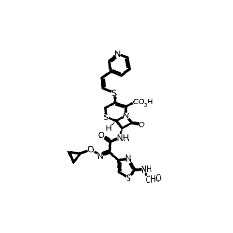 O=CNc1nc(/C(=N/OC2CC2)C(=O)N[C@@H]2C(=O)N3C(C(=O)O)=C(S/C=C\c4cccnc4)CS[C@H]23)cs1